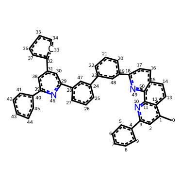 Cc1cc(-c2ccccc2)nc2c1ccc1ccc(-c3cccc(-c4cccc(-c5cc(-c6ccccc6)cc(-c6ccccc6)n5)c4)c3)nc12